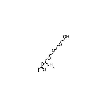 C=CC(=O)OC(N)COCCOCCOCCO